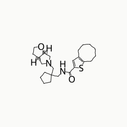 O=C(NCC1(CN2C[C@H]3CCO[C@H]3C2)CCCC1)c1cc2c(s1)CCCCCC2